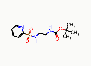 CC(C)(C)OC(=O)NCCNS(=O)(=O)c1ccccn1